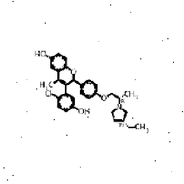 CC[C@@H]1CCN([C@@H](C)COc2ccc(C3Oc4ccc(O)cc4C(C)=C3c3cc(O)ccc3Cl)cc2)C1